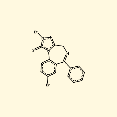 CCn1nc2n(c1=S)-c1ccc(Br)cc1C(c1ccccc1)=NC2